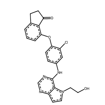 O=C1CCc2cccc(Oc3ccc(Nc4ncnc5ccn(CCO)c45)cc3Cl)c21